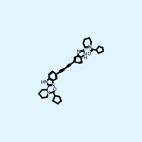 O=C(C1CCCC1)N1CCCC[C@H]1c1nc2cc(C#CC#Cc3ccc4[nH]c([C@@H]5CCCCN5C(=O)C5CCCC5)nc4c3)ccc2[nH]1